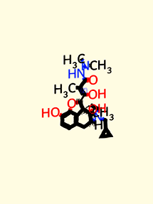 C/C(C(=O)NN(C)C)=C(/O)[C@@H]1Oc2c(O)ccc3c2[C@@]12CCN(CC1CC1)[C@H](C3)[C@@]2(C)O